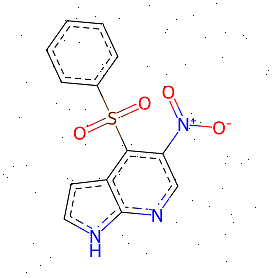 O=[N+]([O-])c1cnc2[nH]ccc2c1S(=O)(=O)c1ccccc1